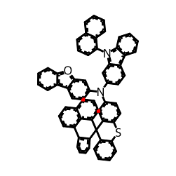 c1ccc2c(c1)Sc1ccc(N(c3ccc4c(c3)oc3ccccc34)c3ccc4c5ccccc5n(-c5cccc6ccccc56)c4c3)cc1C21c2ccccc2-c2cccc3cccc1c23